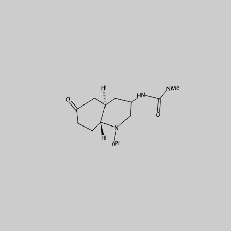 CCCN1CC(NC(=O)NC)C[C@@H]2CC(=O)CC[C@H]21